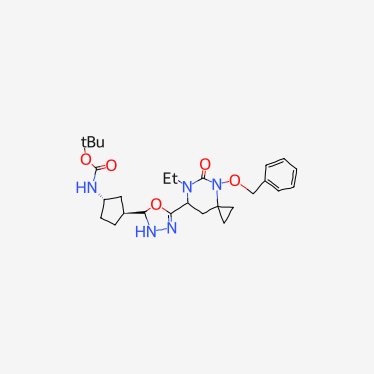 CCN1C(=O)N(OCc2ccccc2)C2(CC2)CC1C1=NNC([C@H]2CC[C@H](NC(=O)OC(C)(C)C)C2)O1